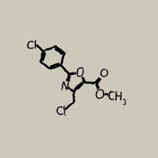 COC(=O)c1oc(-c2ccc(Cl)cc2)nc1CCl